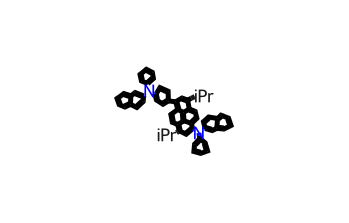 CC(C)c1cc(-c2ccc(N(c3ccccc3)c3ccc4ccccc4c3)cc2)c2ccc3c(C(C)C)cc(N(c4ccccc4)c4ccc5ccccc5c4)c4ccc1c2c34